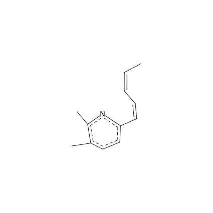 C/C=C\C=C/c1ccc(C)c(C)n1